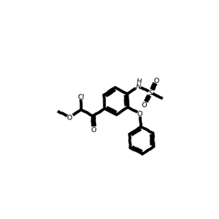 COC(Cl)C(=O)c1ccc(NS(C)(=O)=O)c(Oc2ccccc2)c1